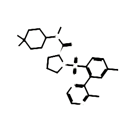 Cc1ccc(S(=O)(=O)N2CCC[C@H]2C(=O)N(C)C2CCC(F)(F)CC2)c(-c2nccnc2C)c1